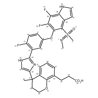 CN=S(C)(=O)c1c(Oc2ccc(F)c(-c3nc(C4(C)CCOc5c(CCC(=O)O)cccc54)c[nH]3)c2)c(F)c(F)c2[nH]ccc12